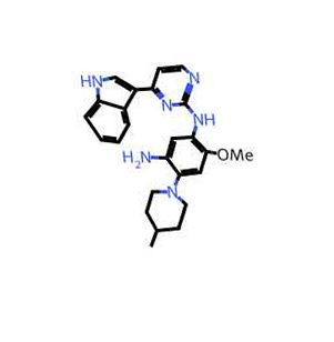 COc1cc(N2CCC(C)CC2)c(N)cc1Nc1nccc(-c2c[nH]c3ccccc23)n1